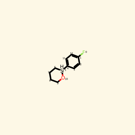 Fc1ccc([SiH]2CCCCO2)cc1